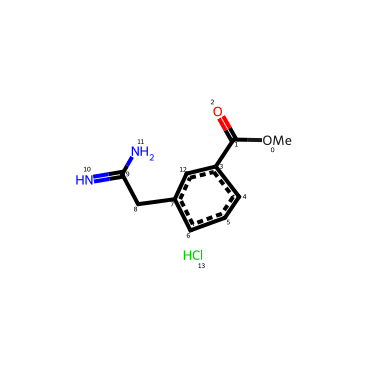 COC(=O)c1cccc(CC(=N)N)c1.Cl